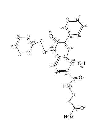 O=C(O)CCNC(=O)c1ncc2c(cc(-c3ccncc3)c(=O)n2CCc2ccccc2)c1O